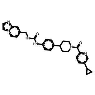 O=C(NCc1ccn2ccnc2c1)Nc1ccc(C2CCN(C(=O)c3ccc(C4CC4)cn3)CC2)cc1